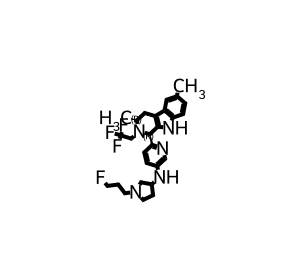 Cc1ccc2[nH]c3c(c2c1)C[C@@H](C)N(CC(F)(F)F)[C@@H]3c1ccc(NC2CCN(CCCF)C2)cn1